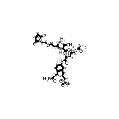 BC(=O)OCc1ccc(NC(=O)[C@H](CCCNC(N)=O)NC(=O)C(NC(=O)CCOCCN2C(=O)C=CC2=O)C(C)C)cc1CCCS(=O)(=O)O